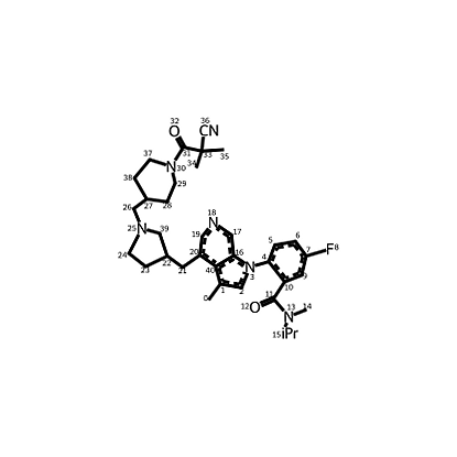 Cc1cn(-c2ccc(F)cc2C(=O)N(C)C(C)C)c2cncc(CC3CCN(CC4CCN(C(=O)C(C)(C)C#N)CC4)C3)c12